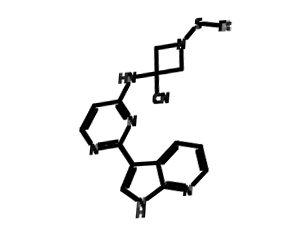 CCSN1CC(C#N)(Nc2ccnc(-c3c[nH]c4ncccc34)n2)C1